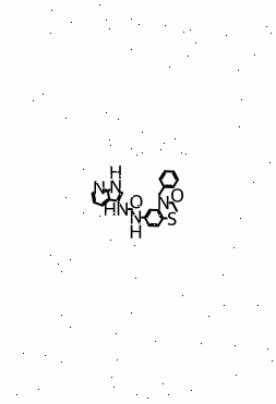 O=C(Nc1ccc2c(c1)N(Cc1ccccc1)C(=O)CS2)Nc1c[nH]c2ncccc12